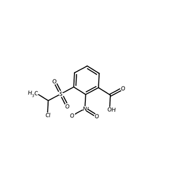 CC(Cl)S(=O)(=O)c1cccc(C(=O)O)c1[N+](=O)[O-]